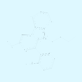 CCCCn1c2ccccc2c2cc(C=O)nc(-c3ccccc3Cl)c21